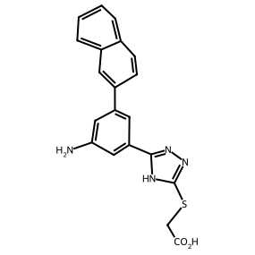 Nc1cc(-c2ccc3ccccc3c2)cc(-c2nnc(SCC(=O)O)[nH]2)c1